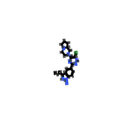 Cc1n[nH]c2ccc(-c3nnc(Cl)c(N4CCN5CCCC5C4)n3)cc12